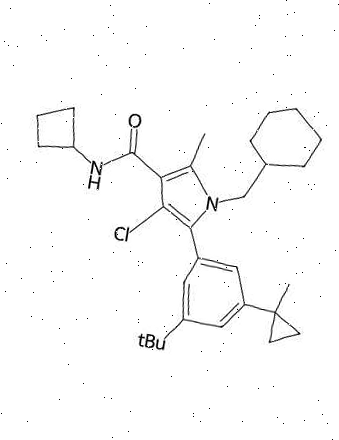 Cc1c(C(=O)NC2CCC2)c(Cl)c(-c2cc(C(C)(C)C)cc(C3(C)CC3)c2)n1CC1CCCCC1